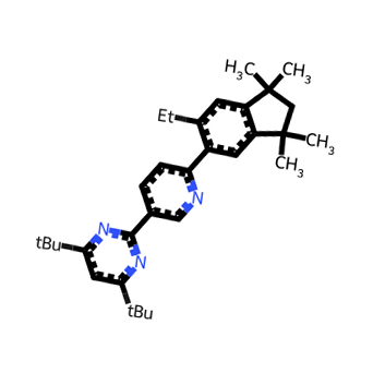 CCc1cc2c(cc1-c1ccc(-c3nc(C(C)(C)C)cc(C(C)(C)C)n3)cn1)C(C)(C)CC2(C)C